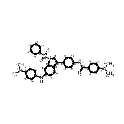 CN(C)c1ccc(Nc2ccc3c(-c4ccc(NC(=O)c5ccc(N(C)C)cc5)cc4)cn(S(=O)(=O)c4ccccc4)c3c2)cc1